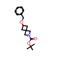 CC(C)(C)OC(=O)N1CC2(CC(OCc3ccccc3)C2)C1